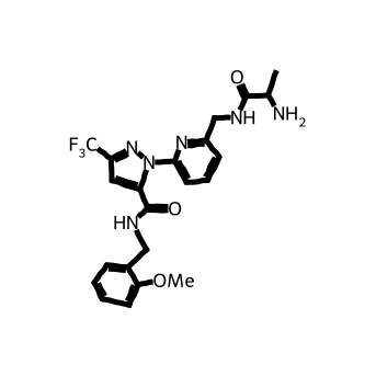 COc1ccccc1CNC(=O)c1cc(C(F)(F)F)nn1-c1cccc(CNC(=O)C(C)N)n1